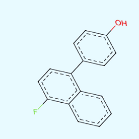 Oc1ccc(-c2ccc(F)c3ccccc23)cc1